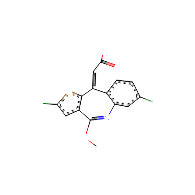 COC1=Nc2cc(F)ccc2C(=CC(=O)O)c2sc(F)cc21